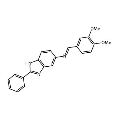 COc1ccc(/C=N/c2ccc3[nH]c(-c4ccccc4)nc3c2)cc1OC